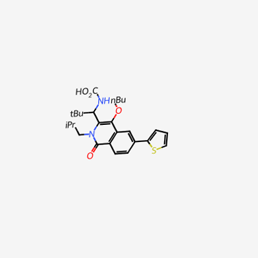 CCCCOc1c(C(NC(=O)O)C(C)(C)C)n(CC(C)C)c(=O)c2ccc(-c3cccs3)cc12